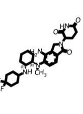 CN(c1ccc2c(c1N)CN(C1CCC(=O)NC1=O)C2=O)[C@@H]1CCCC[C@H]1NC1CCC(F)(F)CC1